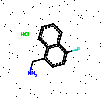 Cl.NCc1ccc(F)c2ccccc12